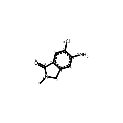 CN1Cc2cc(N)c(Cl)cc2C1=O